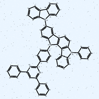 c1ccc(-c2cc(-c3ccccc3)nc(-c3ccc(-n4c5ccc(-n6c7ccccc7c7ccccc76)cc5c5ccc6c(c7ccccc7n6-c6ccccc6)c54)cc3)n2)cc1